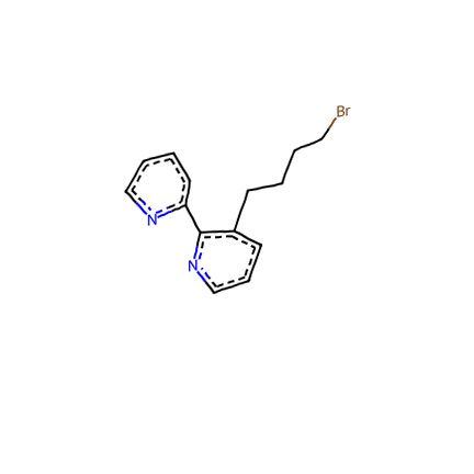 BrCCCCc1cccnc1-c1ccccn1